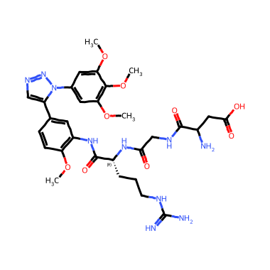 COc1ccc(-c2cnnn2-c2cc(OC)c(OC)c(OC)c2)cc1NC(=O)[C@@H](CCCNC(=N)N)NC(=O)CNC(=O)C(N)CC(=O)O